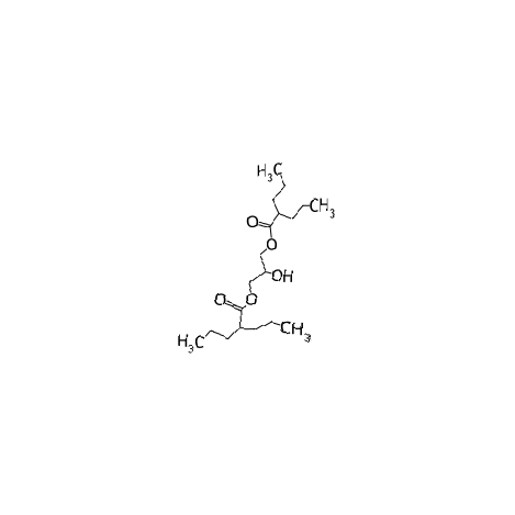 CCCC(CCC)C(=O)OCC(O)COC(=O)C(CCC)CCC